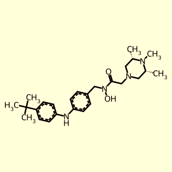 C[C@@H]1CN(CC(=O)N(O)Cc2ccc(Nc3ccc(C(C)(C)C)cc3)cc2)C[C@H](C)N1C